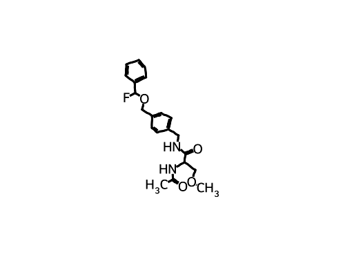 COCC(NC(C)=O)C(=O)NCc1ccc(COC(F)c2ccccc2)cc1